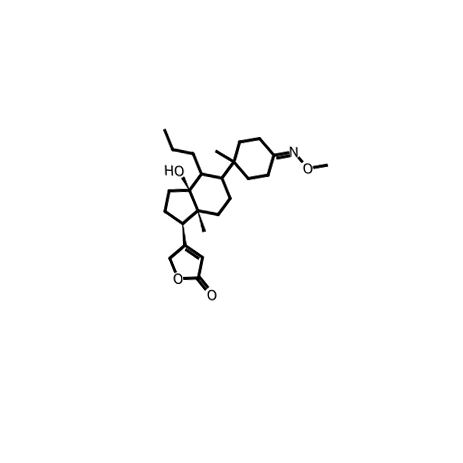 CCCC1C(C2(C)CCC(=NOC)CC2)CC[C@]2(C)[C@@H](C3=CC(=O)OC3)CC[C@]12O